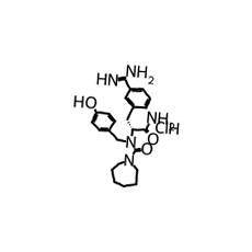 Cl.N=C(N)c1cccc(C[C@H](C(N)=O)N(Cc2ccc(O)cc2)C(=O)N2CCCCCC2)c1